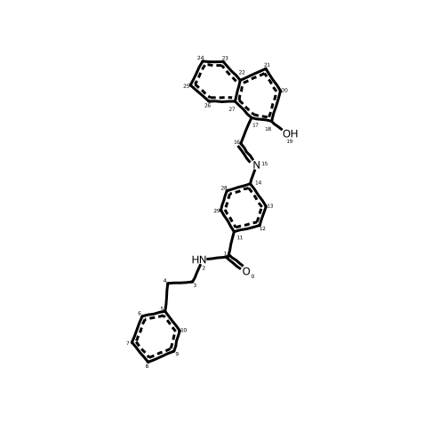 O=C(NCCc1ccccc1)c1ccc(N=Cc2c(O)ccc3ccccc23)cc1